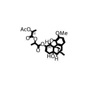 COc1ccc2c3c1O[C@H]1C(OC(=O)C(C)OC(=O)[C@H](C)OC(C)=O)=CC[C@@]4(O)[C@@H](C2)N(C)CC[C@]314